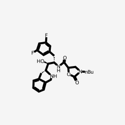 CCCCN1CC(C(=O)N[C@@H](Cc2cc(F)cc(F)c2)[C@H](O)[C@H]2Cc3ccccc3CN2)OC1=O